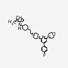 CN(C)C(=O)NC1CCC(CCN2CCN(c3cc(-c4ccc(F)cc4)cc(N4CCOCC4)n3)CC2)CC1